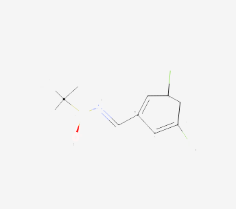 CC(C)(C)[S@+]([O-])/N=C/C1=CC(F)CC(F)=C1